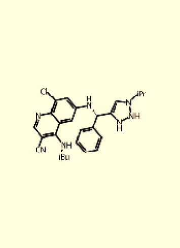 CC[C@@H](C)Nc1c(C#N)cnc2c(Cl)cc(N[C@H](C3=CN(C(C)C)NN3)c3ccccc3)cc12